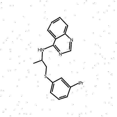 CC(CSc1cccc(C(C)C)c1)Nc1ncnc2ccccc12